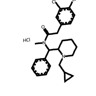 CN(C(=O)Cc1ccc(Cl)c(Cl)c1)C(c1ccccc1)C1CCCCN1CC1CC1.Cl